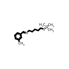 Cc1cccc(C=NCCCCCS[Si](C)(C)C)c1